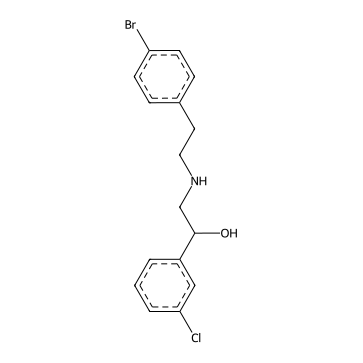 OC(CNCCc1ccc(Br)cc1)c1cccc(Cl)c1